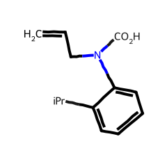 C=CCN(C(=O)O)c1ccccc1C(C)C